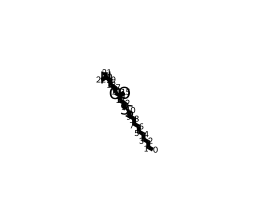 CCCCCCCCCCSSCCC(=O)OCCCN(C)C